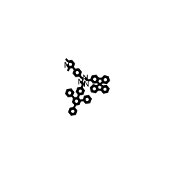 Cc1ccc(-c2ccc(-c3nc(-c4ccc(-c5c(-c6ccccc6)cc(-c6ccccc6)cc5-c5ccccc5)cc4)nc(-c4ccc5c(c4)C4(c6ccccc6-c6ccccc64)c4ccccc4-5)n3)cc2)c(C)n1